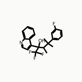 CC(C(C)(C)c1cccc(F)c1)C(O)(c1ccnc2ccccc12)C(F)(F)F